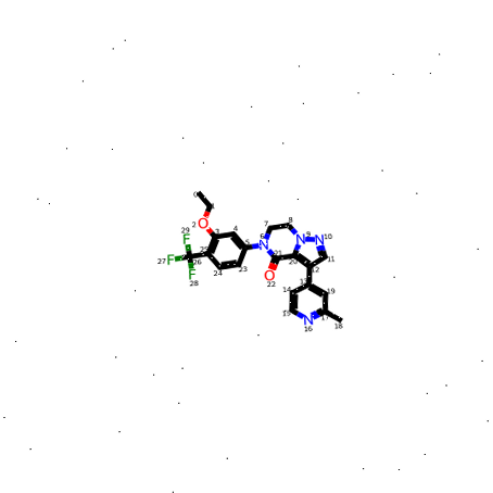 CCOc1cc(N2CCn3ncc(-c4ccnc(C)c4)c3C2=O)ccc1C(F)(F)F